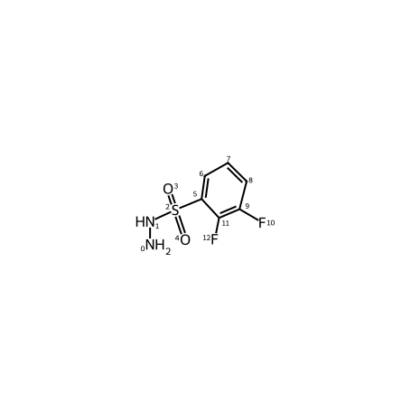 NNS(=O)(=O)c1cccc(F)c1F